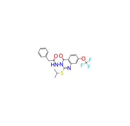 CC(C)Sc1nc2cc(OC(F)(F)F)ccc2c(=O)n1NC(=O)Cc1ccccc1